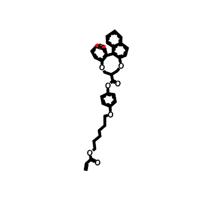 C=CC(=O)OCCCCCCOc1ccc(OC(=O)C2COc3ccc4ccccc4c3-c3c(ccc4ccccc34)OC2)cc1